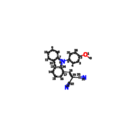 COc1ccc(-n2c3ccccc3c3cccc(C=C(C#N)C#N)c32)cc1